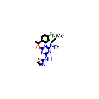 CCN(CCNC)c1nc(Nc2nccs2)nc(OC(C)c2ccc(F)cc2)n1